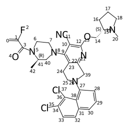 C=C(F)C(=O)N1CCN(c2c(C#N)c(OC[C@@H]3CCCN3C)nc3c2CCN(c2cccc4ccc(Cl)c(Cl)c24)C3)C[C@H]1C